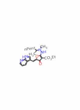 CCCCCC(C)N(C)NC1=C(C(=O)OCC)C(=O)/C(=C/c2c[nH]c3ncccc23)O1